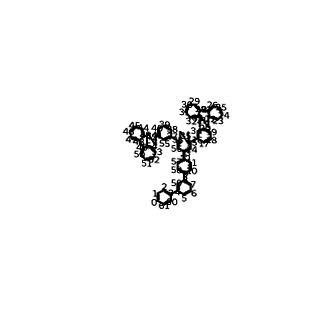 c1ccc(-c2cccc(-c3ccc(-c4cc(-c5cccc(-n6c7ccccc7c7ccccc76)c5)nc(-c5cccc(-n6c7ccccc7c7ccccc76)c5)c4)cc3)c2)cc1